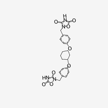 O=c1[nH]c(=O)n(Cc2ccc(OC3CCCC(Oc4ccc(Cn5oc(=O)[nH]c5=O)cc4)C3)cc2)o1